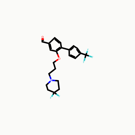 O=Cc1ccc(-c2ccc(C(F)(F)F)cc2)c(OCCCN2CCC(F)(F)CC2)c1